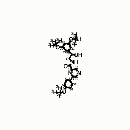 [2H]C([2H])([2H])Oc1ccc(-c2cncc(C(=O)NC[C@@H](O)c3cc(OC([2H])([2H])[2H])cc(OC([2H])([2H])[2H])c3)n2)cc1